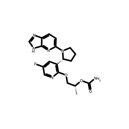 C[C@H](COc1ncc(F)cc1[C@H]1CCCN1c1ccc2nc[nH]c2n1)OC(N)=O